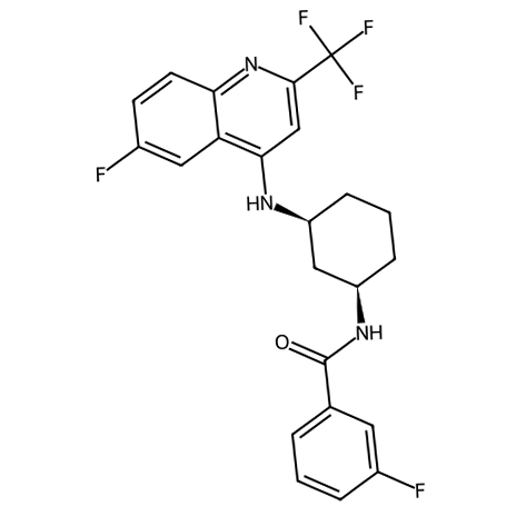 O=C(N[C@@H]1CCC[C@H](Nc2cc(C(F)(F)F)nc3ccc(F)cc23)C1)c1cccc(F)c1